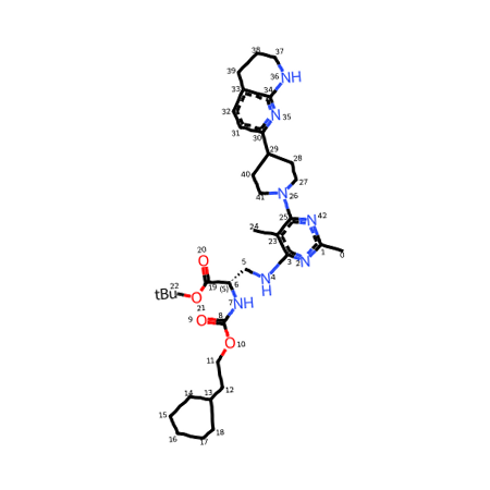 Cc1nc(NC[C@H](NC(=O)OCCC2CCCCC2)C(=O)OC(C)(C)C)c(C)c(N2CCC(c3ccc4c(n3)NCCC4)CC2)n1